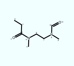 CCC(=O)N(C)CCN(C)C=O